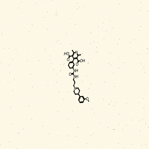 COc1cccc(C2CCN(CCCNC(=O)NC3=CC(c4c(C(=O)O)c(C)nc(C)c4C(=O)O)=CCC3)CC2)c1